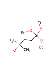 CCO[Si](CCC(C)(C)[O])(OCC)OCC